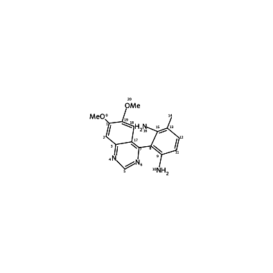 COc1cc2ncnc(-c3c(N)ccc(C)c3N)c2cc1OC